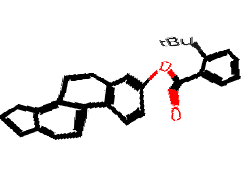 CC(C)(C)c1ccccc1C(=O)Oc1ccc2c(ccc3c4c(ccc32)C=CC4)c1